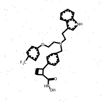 O=C(NO)C1C#CC1c1ccc(CN(CCOc2ccc(C(F)(F)F)cc2)CCc2c[nH]c3ccccc23)cc1